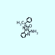 CC(c1ccccc1)n1nc2c3ccccc3nc(N)n2c1=O